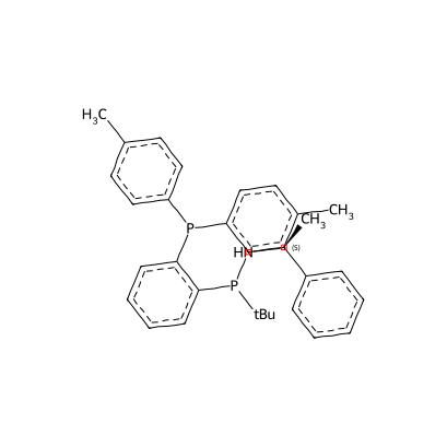 Cc1ccc(P(c2ccc(C)cc2)c2ccccc2P(N[C@@H](C)c2ccccc2)C(C)(C)C)cc1